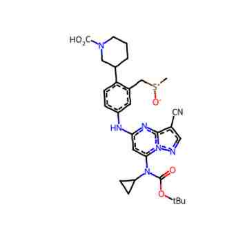 C[S+]([O-])Cc1cc(Nc2cc(N(C(=O)OC(C)(C)C)C3CC3)n3ncc(C#N)c3n2)ccc1C1CCCN(C(=O)O)C1